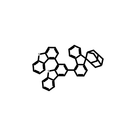 c1ccc2c(c1)-c1c(-c3cc(-c4cccc5sc6ccccc6c45)c4sc5ccccc5c4c3)cccc1C21C2CC3CC(C2)CC1C3